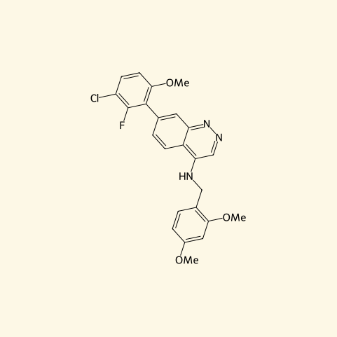 COc1ccc(CNc2cnnc3cc(-c4c(OC)ccc(Cl)c4F)ccc23)c(OC)c1